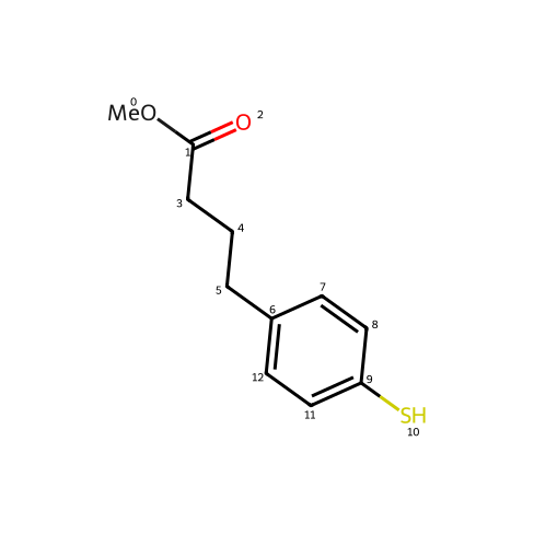 COC(=O)CCCc1ccc(S)cc1